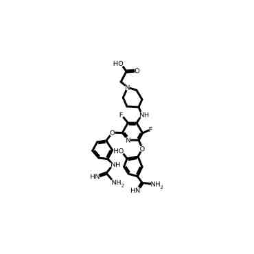 N=C(N)Nc1cccc(Oc2nc(Oc3cc(C(=N)N)ccc3O)c(F)c(NC3CCN(CC(=O)O)CC3)c2F)c1